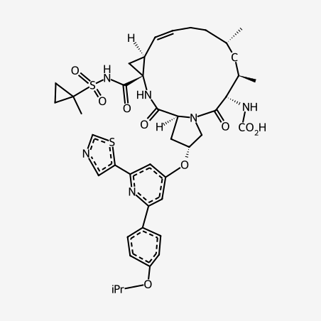 CC(C)Oc1ccc(-c2cc(O[C@@H]3C[C@H]4C(=O)N[C@]5(C(=O)NS(=O)(=O)C6(C)CC6)C[C@H]5/C=C\CC[C@H](C)C[C@@H](C)[C@H](NC(=O)O)C(=O)N4C3)cc(-c3cncs3)n2)cc1